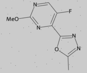 COc1ncc(F)c(-c2nnc(C)o2)n1